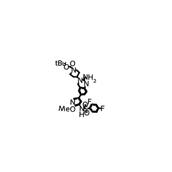 COc1ncc(-c2ccc3c(c2)CN(C2CCN(C(=O)OC(C)(C)C)CC2)C(N)=N3)cc1NS(=O)(=O)c1ccc(F)cc1F